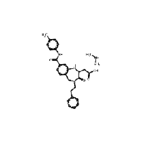 CNC.Cc1ccc(NC(=O)c2ccc3c(c2)NC(CC(=O)O)C(=O)N(CCc2ccccc2)C3)cc1